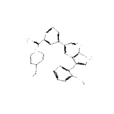 COc1ccccc1-c1c[nH]c2ncc(-c3cccc(C(=N)N4CCC(CO)CC4)c3)cc12